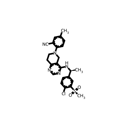 Cc1ccc(N2CCc3ncnc(N[C@@H](C)c4ccc(Cl)c(S(C)(=O)=O)c4)c3C2)c(C#N)c1